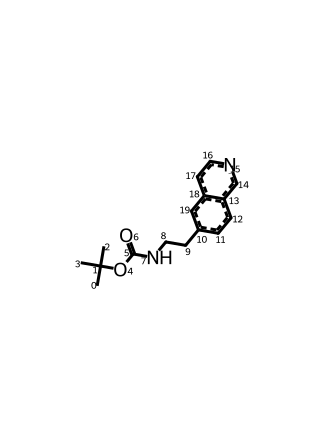 CC(C)(C)OC(=O)NCCc1ccc2cnccc2c1